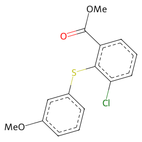 COC(=O)c1cccc(Cl)c1Sc1cccc(OC)c1